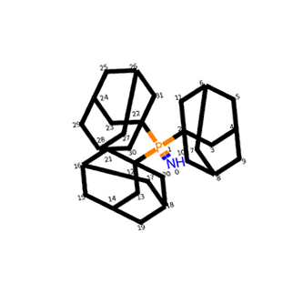 N=P(C12CC3CC(CC(C3)C1)C2)(C12CC3CC(CC(C3)C1)C2)C12CC3CC(CC(C3)C1)C2